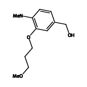 CNc1ccc(CO)cc1OCCCOC